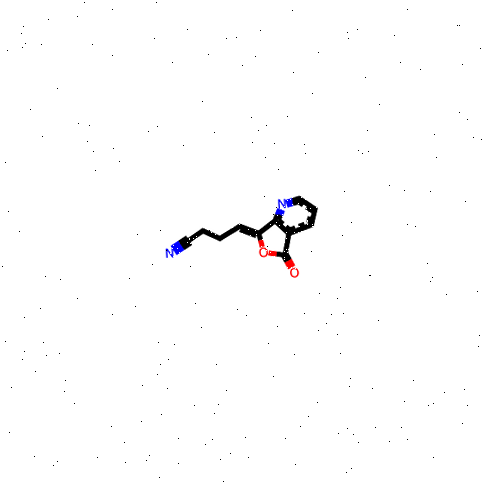 N#CCCC=C1OC(=O)c2cccnc21